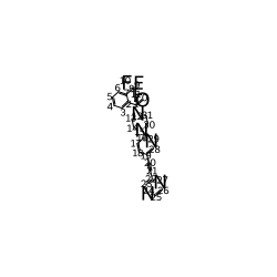 O=C(c1ccccc1C(F)(F)F)N1CCN(c2ccc(C#Cc3cnccn3)cn2)CC1